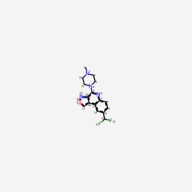 CN1CCN(c2nc3ccc(C(F)F)cc3c3conc23)CC1